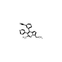 CCc1ccc2c(-c3cccc(C#N)c3)c(-c3ccncc3)c(C)nn12